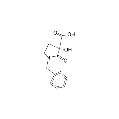 O=C(O)C1(O)CCN(Cc2ccccc2)C1=O